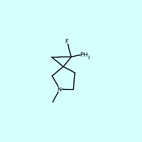 CN1CCC2(C1)CC2(F)P